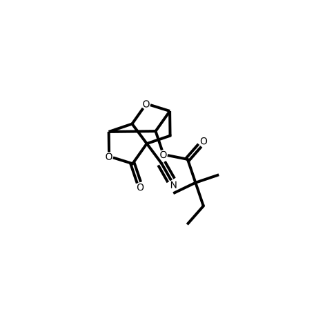 CCC(C)(C)C(=O)OC1C2CC3(C#N)C(=O)OC1C3O2